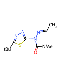 CC=NN(C(=O)NC)c1nnc(C(C)(C)C)s1